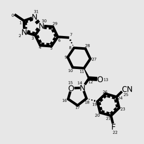 Cc1nc2ccc(C[C@H]3CC[C@H](C(=O)N4OCC[C@H]4c4cc(F)cc(C#N)c4)CC3)cn2n1